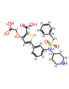 O=C(O)COc1cc(-c2cccc(N(C3CCNCC3)S(=O)(=O)Cc3ccccc3)c2)sc1C(=O)O